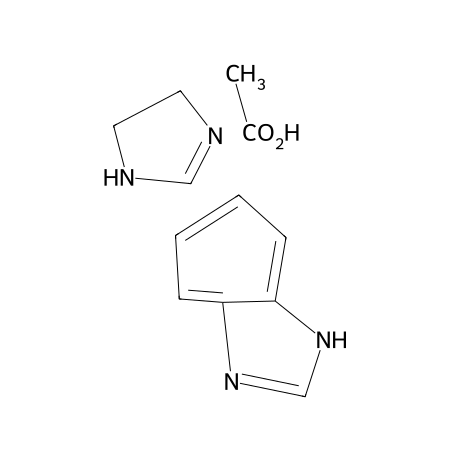 C1=NCCN1.CC(=O)O.c1ccc2[nH]cnc2c1